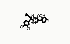 O=c1c(-c2ccc(F)cc2O)c[nH]c2c(-c3ccc(Cl)c(Cl)c3)c(C3CC3)nn12